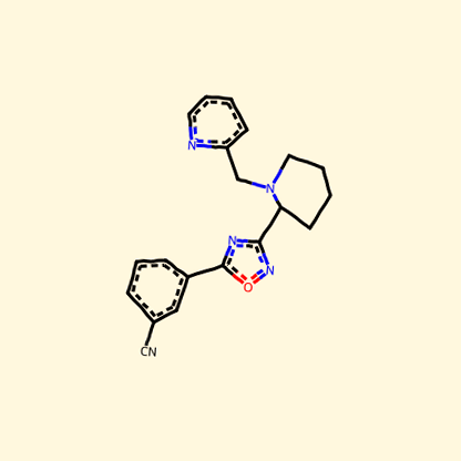 N#Cc1cccc(-c2nc(C3CCCCN3Cc3ccccn3)no2)c1